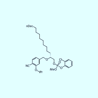 CCCCCCCCCCCCCCCCCCC[C@H](COP(=O)(OC)Oc1ccccc1Cl)OCc1ccc(C#N)c(OC(C)C)c1